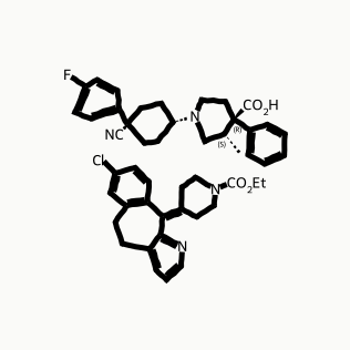 CCOC(=O)N1CCC(=C2c3ccc(Cl)cc3CCc3cccnc32)CC1.C[C@@H]1CN([C@H]2CC[C@](C#N)(c3ccc(F)cc3)CC2)CC[C@]1(C(=O)O)c1ccccc1